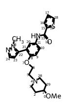 COC1CCN(CCOc2ccc(NC(=O)c3cccs3)cc2-c2ccnn2C)CC1